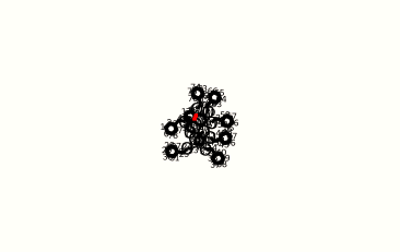 c1ccc(COC[C@@H]2O[C@@H](O[C@]3(COCc4ccccc4)O[C@@H](COCc4ccccc4)[C@H](OCc4ccccc4)[C@H]3OCc3ccccc3)[C@@H](OCc3ccccc3)[C@H](OCc3ccccc3)[C@H]2OCc2ccccc2)cc1